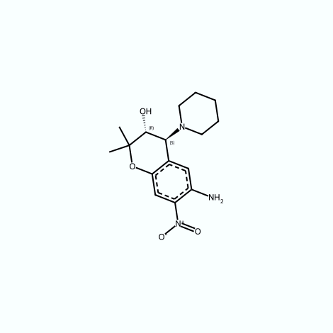 CC1(C)Oc2cc([N+](=O)[O-])c(N)cc2[C@H](N2CCCCC2)[C@H]1O